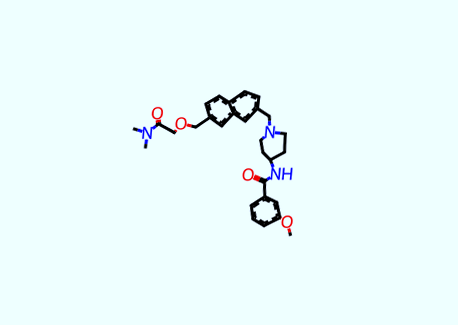 COc1cccc(C(=O)NC2CCN(Cc3ccc4ccc(COCC(=O)N(C)C)cc4c3)CC2)c1